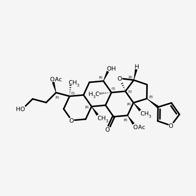 CC(=O)O[C@H]1C(=O)C2[C@]3(C)COC[C@@](C)([C@@H](CCO)OC(C)=O)C3C[C@@H](O)[C@@]2(C)[C@@]23O[C@@H]2C[C@@H](c2ccoc2)[C@]13C